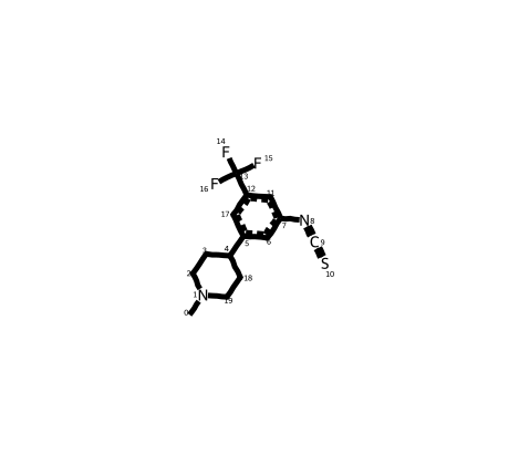 CN1CCC(c2cc(N=C=S)cc(C(F)(F)F)c2)CC1